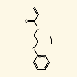 C=CC(=O)OCCOc1ccccc1.[CH2]C